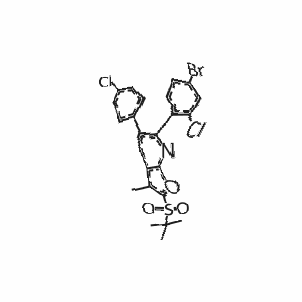 Cc1c(S(=O)(=O)C(C)(C)C)oc2nc(-c3ccc(Br)cc3Cl)c(-c3ccc(Cl)cc3)cc12